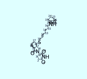 O=C1CCC(N2Cc3c(SCCCCCCCNC4C5CC6CC(C5)C4C6)cccc3C2=O)C(=O)N1